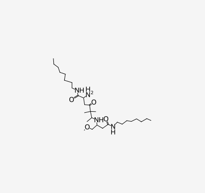 CCCCCCCCNC(=O)CC(COC)NC(C)C(C)(C)C(=O)CC(N)C(=O)NCCCCCCCC